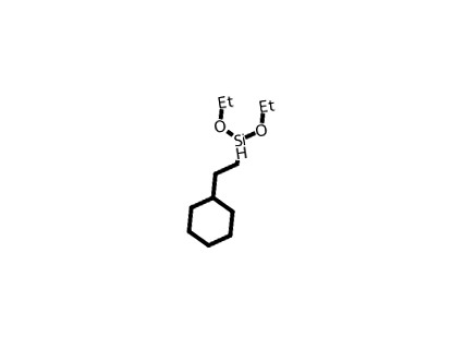 CCO[SiH](CCC1CCCCC1)OCC